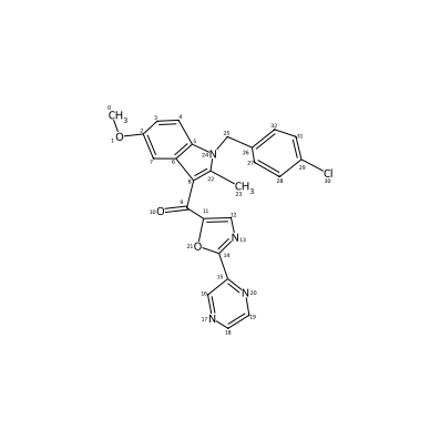 COc1ccc2c(c1)c(C(=O)c1cnc(-c3cnccn3)o1)c(C)n2Cc1ccc(Cl)cc1